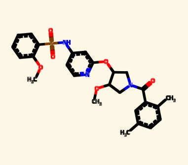 COc1ccccc1S(=O)(=O)Nc1ccnc(OC2CN(C(=O)c3cc(C)ccc3C)CC2OC)c1